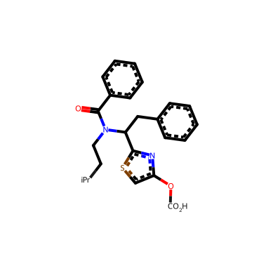 CC(C)CCN(C(=O)c1ccccc1)C(Cc1ccccc1)c1nc(OC(=O)O)cs1